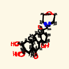 C[C@]12C[C@H](O)[C@H](O)C[C@H]1C(=O)C=C1C2CC[C@]2(C)[C@@H](C(=O)CN3CCOCC3)CC[C@@]12O